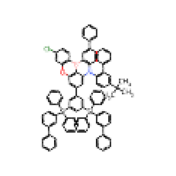 CC(C)(C)c1ccc(N2c3ccc(-c4ccccc4)cc3B3c4ccc(Cl)cc4Oc4cc(-c5cc([Si](c6ccccc6)(c6ccccc6)c6cccc(-c7ccccc7)c6)cc([Si](c6ccccc6)(c6ccccc6)c6cccc(-c7ccccc7)c6)c5)cc2c43)c(-c2ccccc2)c1